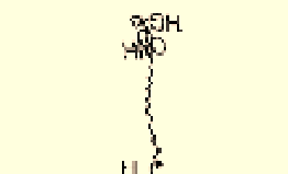 CCCCCCCCCCCCCCCCCCNC(=O)OCC1(CO)CCC1